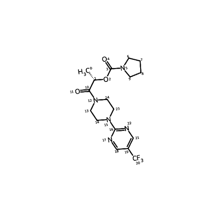 C[C@H](OC(=O)N1CCCC1)C(=O)N1CCN(c2ncc(C(F)(F)F)cn2)CC1